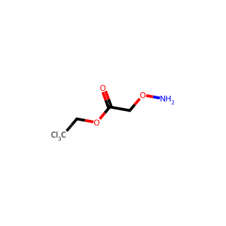 NOCC(=O)OCC(Cl)(Cl)Cl